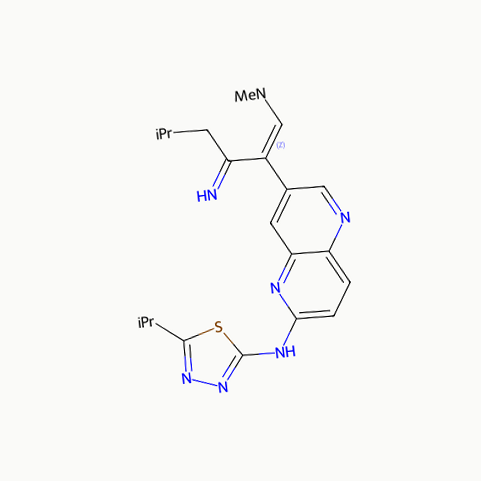 CN/C=C(\C(=N)CC(C)C)c1cnc2ccc(Nc3nnc(C(C)C)s3)nc2c1